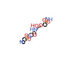 CNS(=O)(=O)c1cccc(OC[C@@H](O)CNC2COC3(CCN(S(=O)(=O)c4ccc5c(ccn5C)c4)CC3)C2)c1